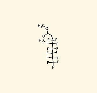 COC(CC(F)(F)C(F)(F)C(F)(F)C(F)(F)C(F)(F)C(F)(F)F)OC